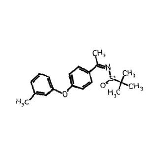 C/C(=N/[S+]([O-])C(C)(C)C)c1ccc(Oc2cccc(C)c2)cc1